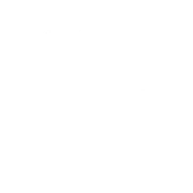 c1ccc(-c2cccc(-c3ccc(-c4ccc5oc6ccccc6c5c4)c4ccccc34)c2)cc1